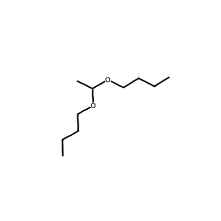 CC[CH]COC(C)OCCCC